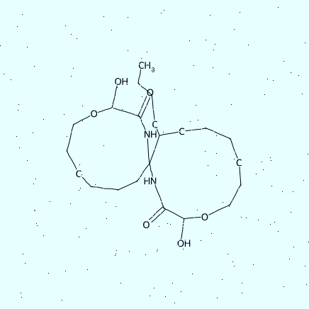 CCCCC1CCCCCCOC(O)C(=O)NC12CCCCCCOC(O)C(=O)N2